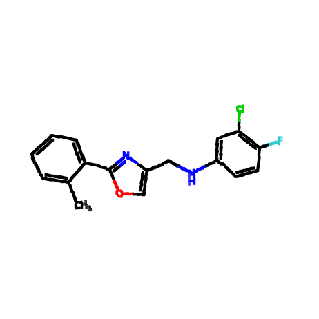 Cc1ccccc1-c1nc(CNc2ccc(F)c(Cl)c2)co1